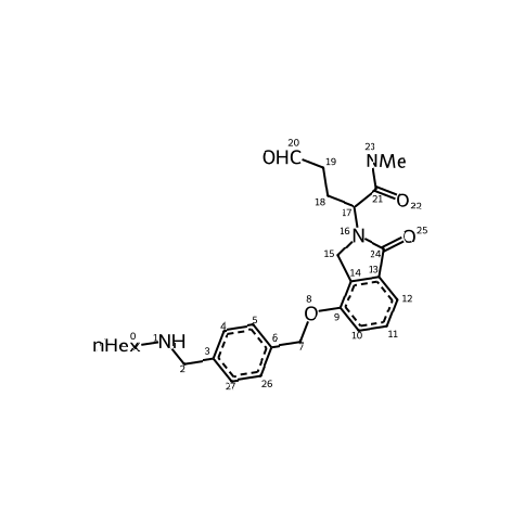 CCCCCCNCc1ccc(COc2cccc3c2CN(C(CCC=O)C(=O)NC)C3=O)cc1